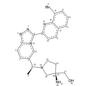 C[C@@H](c1ccc2nnc(-c3ccc4cccc(C(C)(C)C)c4n3)n2c1)N1CC[C@](N)(CO)C1